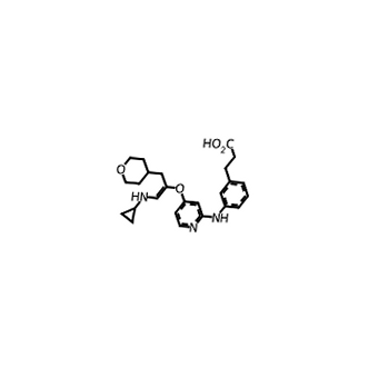 O=C(O)CCc1cccc(Nc2cc(O/C(=C/NC3CC3)CC3CCOCC3)ccn2)c1